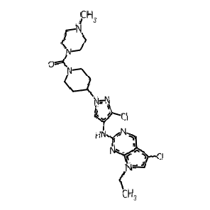 CCn1cc(Cl)c2cnc(Nc3cn(C4CCN(C(=O)N5CCN(C)CC5)CC4)nc3Cl)nc21